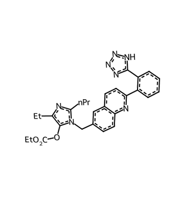 CCCc1nc(CC)c(OC(=O)OCC)n1Cc1ccc2nc(-c3ccccc3-c3nnn[nH]3)ccc2c1